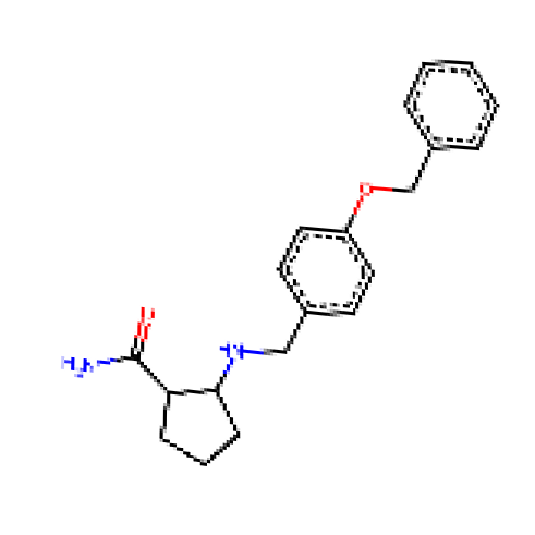 NC(=O)C1CCCC1NCc1ccc(OCc2ccccc2)cc1